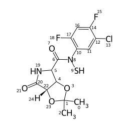 CC1(C)OC2C(C(=O)N(S)c3cc(Cl)c(F)cc3F)NC(=O)[C@H]2O1